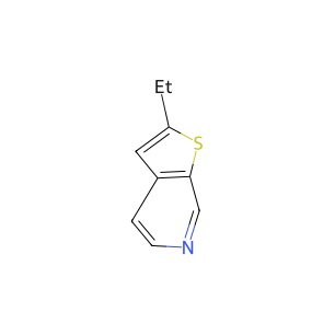 CCc1cc2ccncc2s1